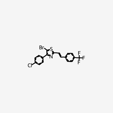 FC(F)(F)c1ccc(/C=C/c2nc(-c3ccc(Cl)cc3)c(Br)s2)cc1